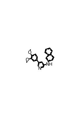 COc1ccc(-c2cncc(Nc3ccc4ccccc4c3)c2)cc1OC